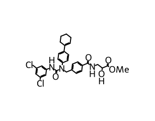 COC(=O)C(O)CNC(=O)c1ccc(CN(C(=O)Nc2cc(Cl)cc(Cl)c2)c2ccc(C3=CCCCC3)cc2)cc1